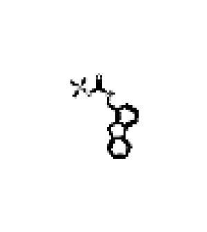 C[Si](C)(C)OC(=O)NCc1cccc2c1Cc1ccccc1-2